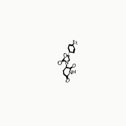 CCc1ccc([C@@H]2CN(C3CCC(=O)NC3=O)C(=O)O2)cc1